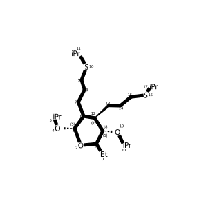 CCC1O[C@H](OC(C)C)C(CCCSC(C)C)[C@@H](CCCSC(C)C)[C@@H]1OC(C)C